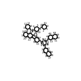 c1ccc(-c2ccc(N(c3ccccc3)c3c4ccccc4cc4c3oc3cc(-c5nc(-c6ccc7ccccc7c6)nc(-c6ccc7ccccc7c6)n5)ccc34)cc2)cc1